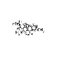 CCCNC(=O)c1c(N)c2cccc(-c3cc(C)ncc3F)c2[nH]c1=O